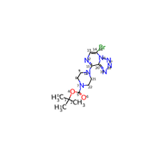 CC(C)(C)OC(=O)N1CCN(c2ncc(Br)n3nnnc23)CC1